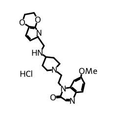 COc1ccc2ncc(=O)n(CCN3CCC(NCc4ccc5c(n4)OCCO5)CC3)c2c1.Cl